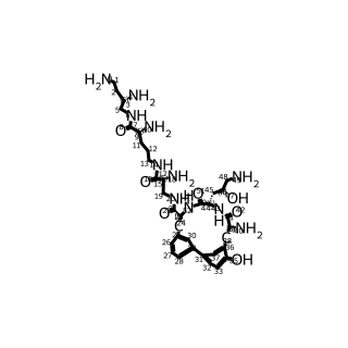 NCC[C@H](N)CNC(=O)[C@@H](N)CCCNC(=O)[C@@H](N)CNC(=O)[C@@H]1Cc2cccc(c2)-c2ccc(O)c(c2)C[C@H](N)C(=O)N[C@@H](C[C@@H](O)CN)C(=O)N1